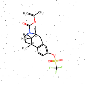 C=C(C)OC(=O)N1CC[C@@]2(C)c3ccc(OS(=O)(=O)C(F)(F)F)cc3C[C@@H]1C2(C)C